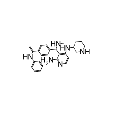 C=C(Nc1ccccc1)c1ccc(C(NC)c2c(NC3CCCNC3)ccnc2N)cc1